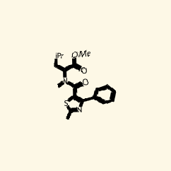 COC(=O)C(CC(C)C)N(C)C(=O)c1sc(C)nc1-c1ccccc1